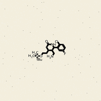 CC(C)(C)[Si](C)(C)OCCC1CC(=O)NC(c2cc(F)ccc2Cl)C1CN